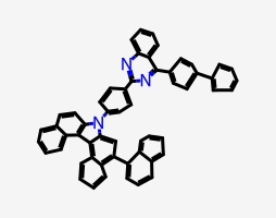 c1ccc(-c2ccc(-c3nc(-c4ccc(-n5c6ccc7ccccc7c6c6c7ccccc7c(-c7cccc8ccccc78)cc65)cc4)nc4ccccc34)cc2)cc1